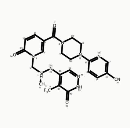 C[Si@@H](Cn1cc(C(=O)N2CCN(c3ccc(C#N)cn3)CC2)ccc1=O)Nc1cn[nH]c(=O)c1C(F)(F)F